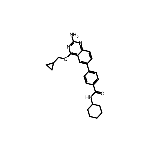 Nc1nc(OCC2CC2)c2cc(-c3ccc(C(=O)NC4CCCCC4)cc3)ccc2n1